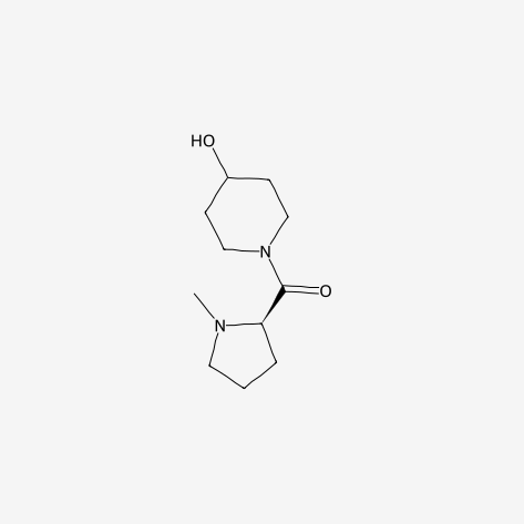 CN1CCC[C@@H]1C(=O)N1CCC(O)CC1